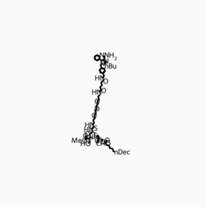 CCCCCCCCCCCCCCCC(=O)OC[C@H](CSC[C@H](NC(=S)NCCCOCCOCCOCCCNC(=O)CCCC(=O)NCc1ccc(Cn2c(CCCC)nc3c(N)nc4ccccc4c32)cc1)C(=O)N[C@@H](CO)C(=O)OC)OC=O